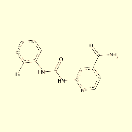 NC(=O)c1ccnc(NC(=O)Nc2ccccc2S)c1